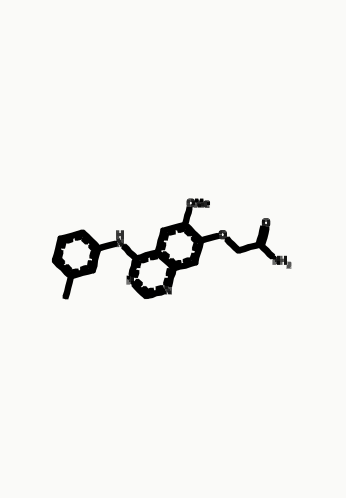 COc1cc2c(Nc3cccc(C)c3)ncnc2cc1OCC(N)=O